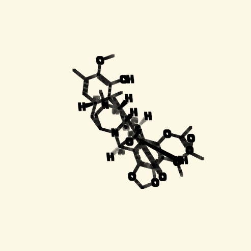 COC1=C(O)C2(C)[C@@H]3[C@@H]4[C@@H]5SC[C@H](NC(C)=O)C(=O)OC[C@@H](c6c7c(c(OC)c(OC(C)=O)c65)OCO7)N4C(C[C@@H]2C=C1C)CN3C